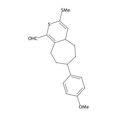 COc1ccc(C2CCC3=C(C=O)SC(SC)=CC3CC2)cc1